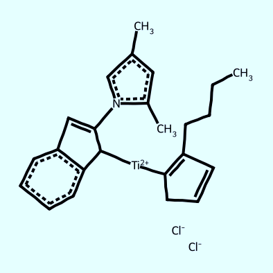 CCCCC1=[C]([Ti+2][CH]2C(n3cc(C)cc3C)=Cc3ccccc32)CC=C1.[Cl-].[Cl-]